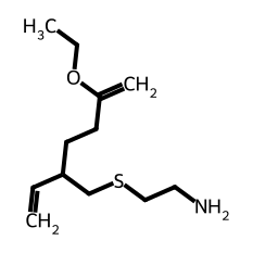 C=CC(CCC(=C)OCC)CSCCN